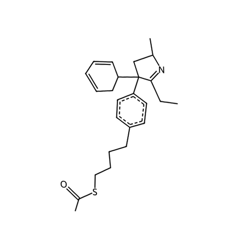 CCC1=NC(C)CC1(c1ccc(CCCCSC(C)=O)cc1)C1C=CC=CC1